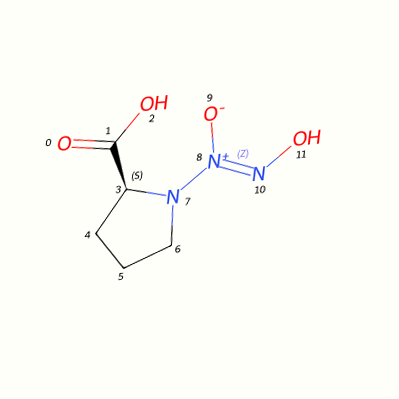 O=C(O)[C@@H]1CCCN1/[N+]([O-])=N/O